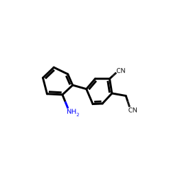 N#CCc1ccc(-c2ccccc2N)cc1C#N